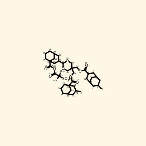 CC1CC2CC(C1)CC(C(=O)OCC1(COC(=O)C34CCCC(CC(C)C3)C4)COC(C3CC4CCCC(C(=O)OC(=O)C(F)(F)S(=O)(=O)O)(C4)C3)OC1)C2